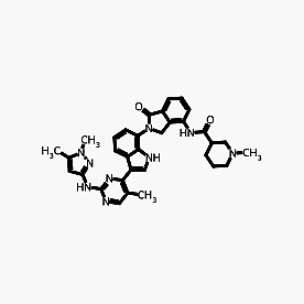 Cc1cnc(Nc2cc(C)n(C)n2)nc1-c1c[nH]c2c(N3Cc4c(NC(=O)C5CCCN(C)C5)cccc4C3=O)cccc12